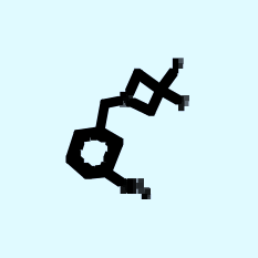 Nc1cccc(CN2CC(F)(F)C2)c1